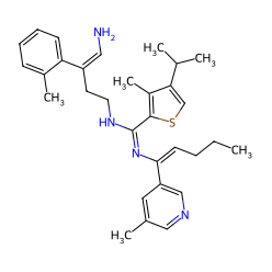 CCC/C=C(/N=C(/NCC/C(=C/N)c1ccccc1C)c1scc(C(C)C)c1C)c1cncc(C)c1